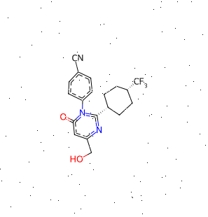 N#Cc1ccc(-n2c(=O)cc(CO)nc2[C@H]2CC[C@@H](C(F)(F)F)CC2)cc1